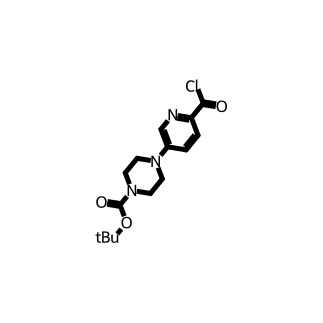 CC(C)(C)OC(=O)N1CCN(c2ccc(C(=O)Cl)nc2)CC1